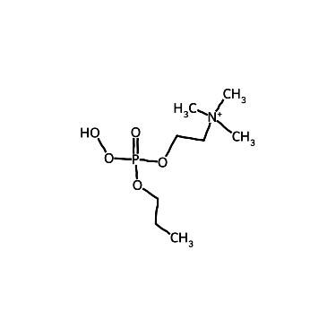 CCCOP(=O)(OO)OCC[N+](C)(C)C